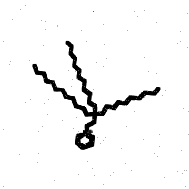 CCCCCCCCCCCCC(CCCCCCCCCC)(CCCCCCCCCCCC)CC[n+]1ccccc1